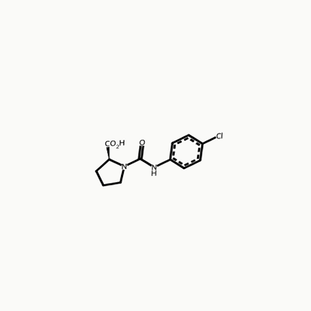 O=C(O)[C@@H]1CCCN1C(=O)Nc1ccc(Cl)cc1